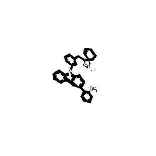 C[C@@]1([C@H](N)Cc2cccc(-n3c4ccccc4c4cc(-c5ccccc5O)ccc43)c2)C=CC=CC1